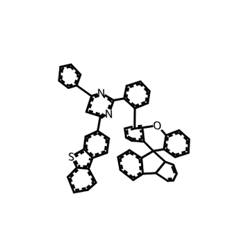 C1=CC2c3ccccc3C3(c4ccccc4Oc4c(-c5ccccc5-c5nc(-c6ccccc6)cc(-c6ccc7c(c6)sc6ccccc67)n5)cccc43)C2C=C1